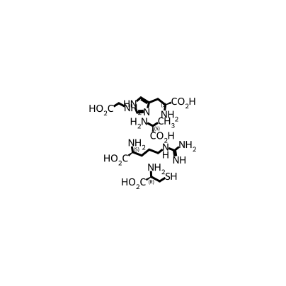 C[C@H](N)C(=O)O.N=C(N)NCCC[C@H](N)C(=O)O.NCC(=O)O.N[C@@H](CS)C(=O)O.N[C@@H](Cc1c[nH]cn1)C(=O)O